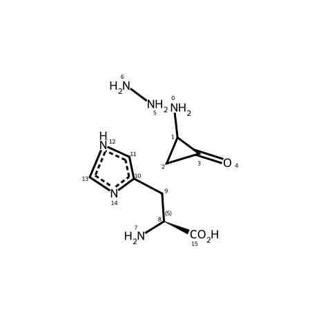 NC1CC1=O.NN.N[C@@H](Cc1c[nH]cn1)C(=O)O